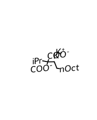 CCCCCCCCCCC(C(=O)[O-])(C(=O)[O-])C(C)C.[K+].[K+]